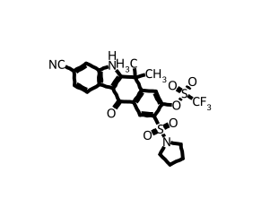 CC1(C)c2cc(OS(=O)(=O)C(F)(F)F)c(S(=O)(=O)N3CCCC3)cc2C(=O)c2c1[nH]c1cc(C#N)ccc21